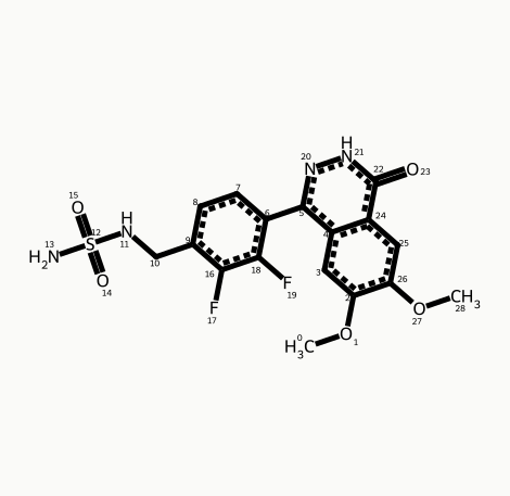 COc1cc2c(-c3ccc(CNS(N)(=O)=O)c(F)c3F)n[nH]c(=O)c2cc1OC